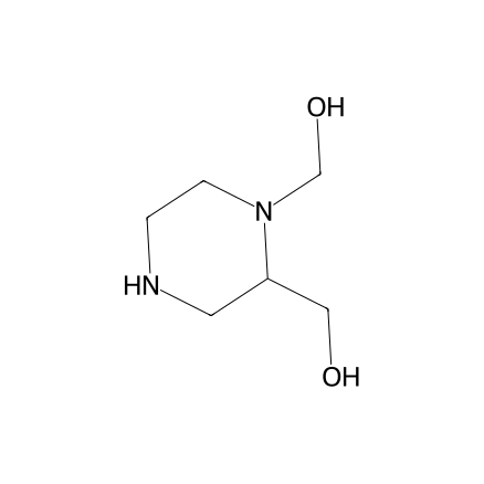 OCC1CNCCN1CO